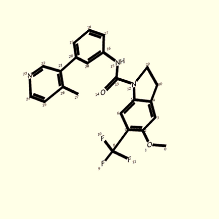 COc1cc2c(cc1C(F)(F)F)N(C(=O)Nc1cccc(-c3cnccc3C)c1)CC2